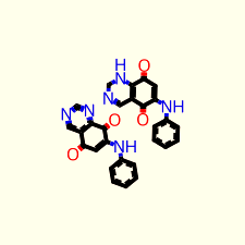 O=C1C=C(Nc2ccccc2)C(=O)C2=C1NCN=C2.O=C1C=C(Nc2ccccc2)C(=O)c2ncncc21